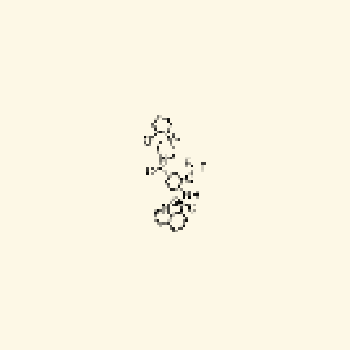 O=C(c1ccc(NS(=O)(=O)c2cccc3cccnc23)c(OC(F)F)c1)N1CCC(O)(c2ccccc2Cl)CC1